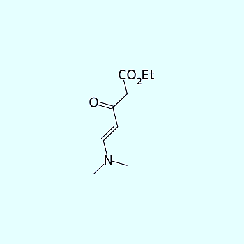 CCOC(=O)CC(=O)C=CN(C)C